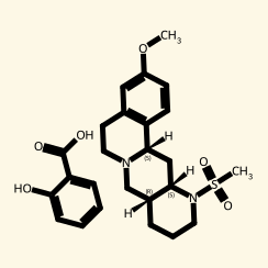 COc1ccc2c(c1)CCN1C[C@H]3CCCN(S(C)(=O)=O)[C@H]3C[C@@H]21.O=C(O)c1ccccc1O